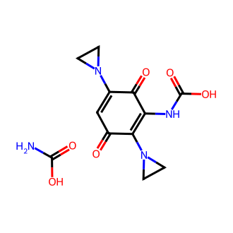 NC(=O)O.O=C(O)NC1=C(N2CC2)C(=O)C=C(N2CC2)C1=O